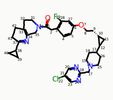 O=C(Cc1ccc(OCC[C@@H]2CC2C2CCN(Cc3ncc(Cl)cn3)CC2)cc1F)N1CCC2=C(C1)N=C(C1CC1)CC2